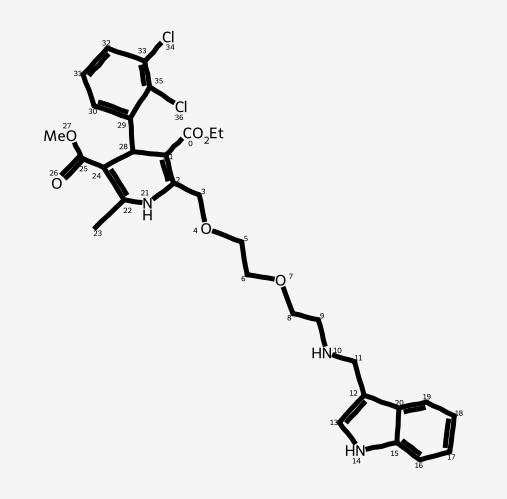 CCOC(=O)C1=C(COCCOCCNCc2c[nH]c3ccccc23)NC(C)=C(C(=O)OC)C1c1cccc(Cl)c1Cl